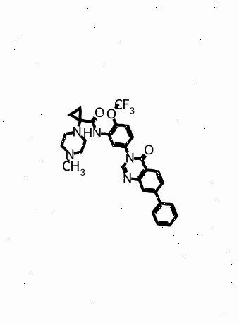 CN1CCN(C2(C(=O)Nc3cc(-n4cnc5cc(-c6ccccc6)ccc5c4=O)ccc3OC(F)(F)F)CC2)CC1